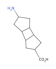 NC1CC2C(C1)C1CC(C(=O)O)CC21